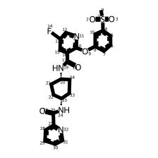 CS(=O)(=O)c1cccc(Oc2ncc(F)cc2C(=O)N[C@H]2CC[C@@H](NC(=O)c3ccccn3)CC2)c1